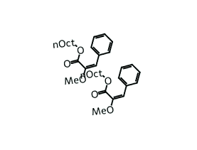 CCCCCCCCOC(=O)C(=Cc1ccccc1)OC.CCCCCCCCOC(=O)C(=Cc1ccccc1)OC